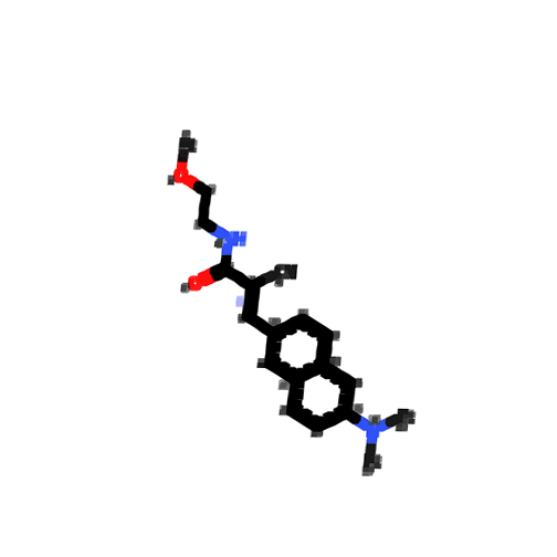 CCOCCNC(=O)/C(C#N)=C/c1ccc2cc(N(CC)CC)ccc2c1